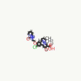 CC1(C)CC[C@@H]2c3cc(OCCn4nc5ccccn5c4=O)c(Cl)cc3-c3cc(=O)c(C(=O)O)cn3N21